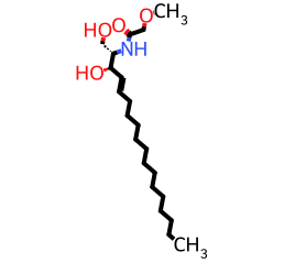 CCCCCCCCCCCCC/C=C/[C@@H](O)[C@H](CO)NC(=O)COC